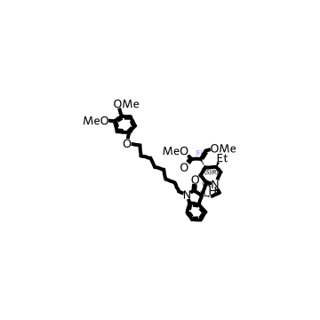 CC[C@H]1CN2CC[C@]3(C(=O)N(CCCCCCCCOc4ccc(OC)c(OC)c4)c4ccccc43)[C@H]2C[C@@H]1/C(=C\OC)C(=O)OC